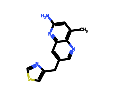 Cc1cc(N)nc2cc(Cc3cscn3)cnc12